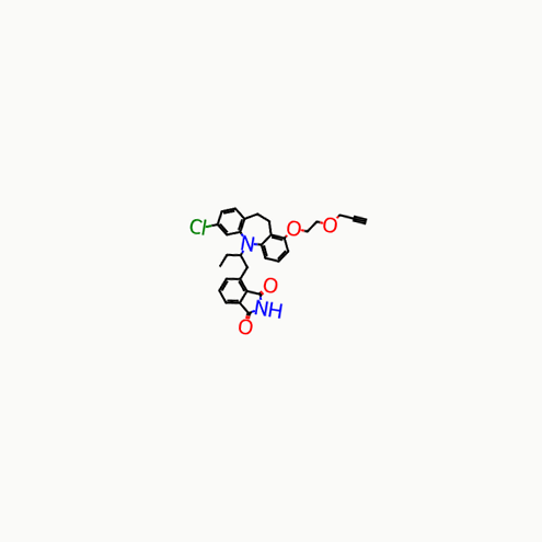 C#CCOCCOc1cccc2c1CCc1ccc(Cl)cc1N2C(CC)Cc1cccc2c1C(=O)NC2=O